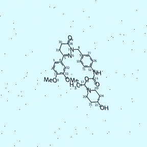 COc1ccc(C2=NN(Cc3ccc(NC(=O)OC(C)N4CCC(O)CC4)cc3)C(=O)CC2)cc1OC